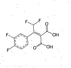 O=C(O)C(C(=O)O)=C(c1ccc(F)c(F)c1)C(F)F